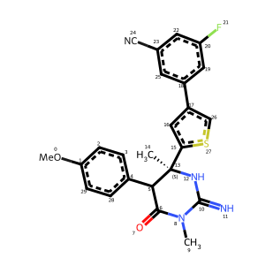 COc1ccc(C2C(=O)N(C)C(=N)N[C@]2(C)c2cc(-c3cc(F)cc(C#N)c3)cs2)cc1